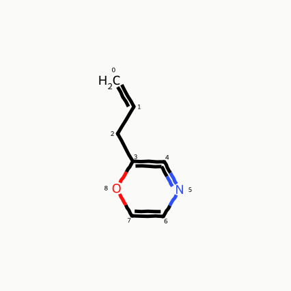 C=CCC1=C=NC=CO1